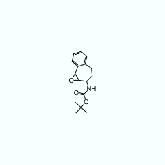 CC(C)(C)OC(=O)NC1CCc2ccccc2C2OC12